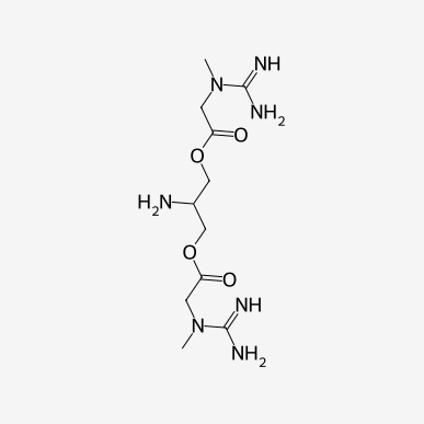 CN(CC(=O)OCC(N)COC(=O)CN(C)C(=N)N)C(=N)N